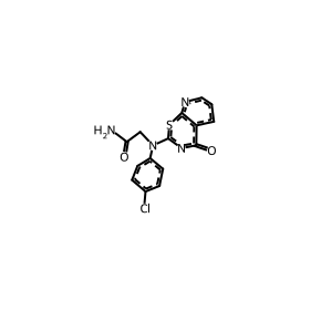 NC(=O)CN(c1ccc(Cl)cc1)c1nc(=O)c2cccnc2s1